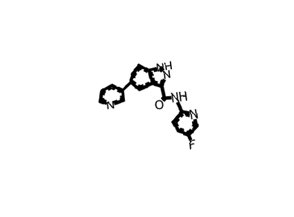 O=C(Nc1ccc(F)cn1)c1n[nH]c2ccc(-c3cccnc3)cc12